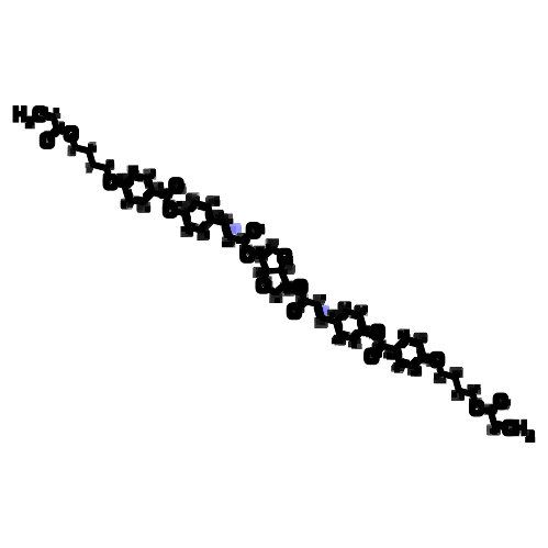 C=CC(=O)OCCCCOc1ccc(C(=O)Oc2ccc(/C=C/C(=O)O[C@@H]3COC4C3OC[C@H]4OC(=O)/C=C/c3ccc(OC(=O)c4ccc(OCCCCOC(=O)C=C)cc4)cc3)cc2)cc1